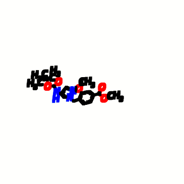 COC(=O)c1ccc(Cn2cc(NC(=O)OC(C)(C)C)cn2)c(OC)c1